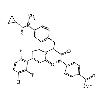 COC(=O)c1ccc(NC(=O)C(Cc2ccc(N(C)C(=O)C3CC3)cc2)N2CCC(c3c(F)ccc(Cl)c3F)=CC2=O)cc1